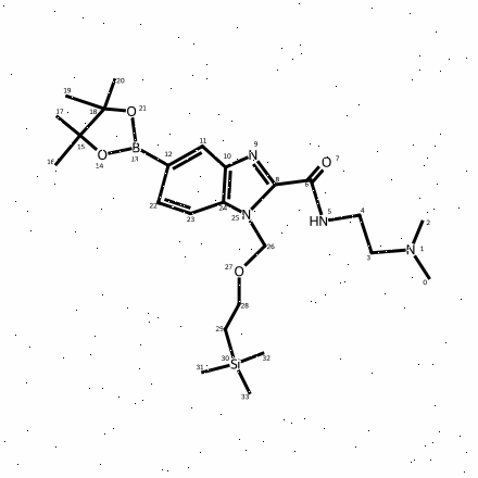 CN(C)CCNC(=O)c1nc2cc(B3OC(C)(C)C(C)(C)O3)ccc2n1COCC[Si](C)(C)C